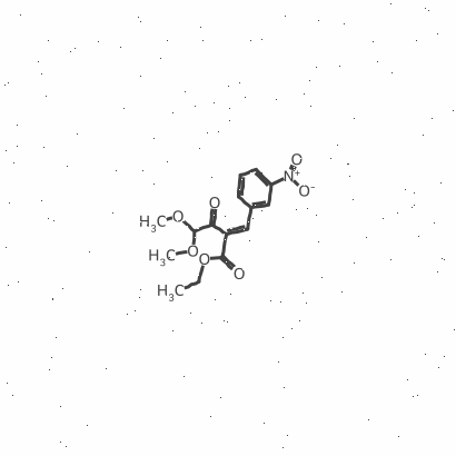 CCOC(=O)/C(=C/c1cccc([N+](=O)[O-])c1)C(=O)C(OC)OC